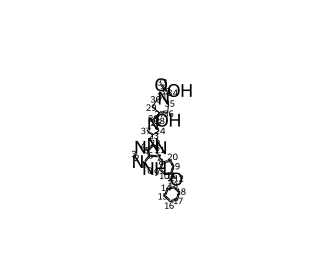 Nc1ncnc2c1c(-c1ccc(Oc3ccccc3)cc1)nn2C1CN(CC2(O)CCN(C(=O)O)CC2)C1